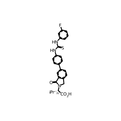 CC(C)[C@@H](C(=O)O)N1Cc2ccc(-c3ccc(NC(=S)Nc4cccc(F)c4)cc3)cc2C1=O